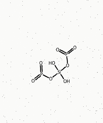 O=P(=O)O[Si](O)(O)OP(=O)=O